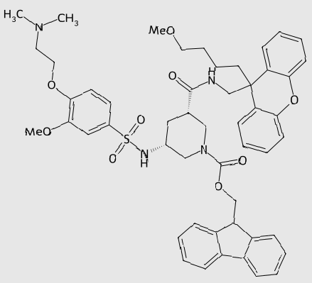 COCCCCC1(CNC(=O)[C@H]2C[C@@H](NS(=O)(=O)c3ccc(OCCN(C)C)c(OC)c3)CN(C(=O)OCC3c4ccccc4-c4ccccc43)C2)c2ccccc2Oc2ccccc21